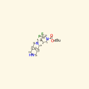 CC(C)(C)OC(=O)N1CC[C@H](CN2CCC3(CCNCC3)CC2)C(F)(F)C1